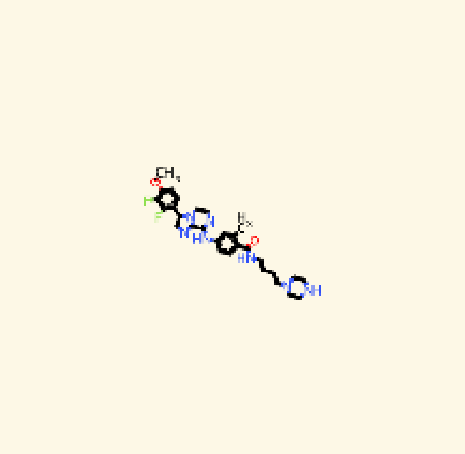 COc1ccc(C2CN=C3C(Nc4ccc(C(=O)NCCCCN5CCNCC5)c(C)c4)=NC=CN32)c(F)c1F